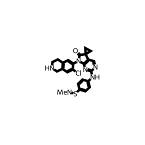 CNSc1ccc(Nc2ncc3c(n2)N(c2cc4c(cc2Cl)CNCC4)C(=O)C32CC2)cc1